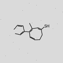 C\C=C/C(=C\C)C1=C(C)/C=C(/S)CC/C=C\1